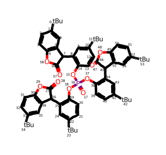 CC(C)(C)c1ccc2c(c1)C(c1cc(C(C)(C)C)ccc1OP(=O)(Oc1ccc(C(C)(C)C)cc1C1C(=O)Oc3ccc(C(C)(C)C)cc31)Oc1ccc(C(C)(C)C)cc1C1C(=O)Oc3ccc(C(C)(C)C)cc31)C(=O)O2